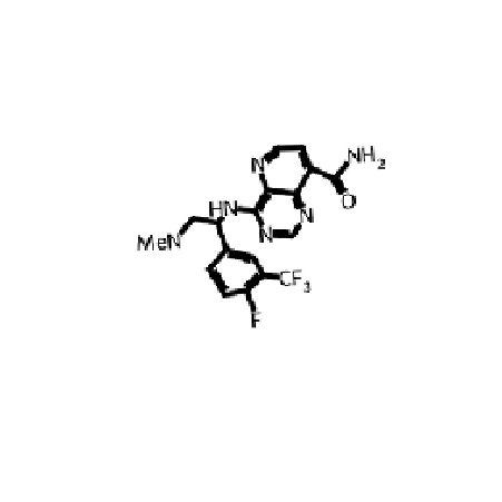 CNCC(Nc1ncnc2c(C(N)=O)ccnc12)c1ccc(F)c(C(F)(F)F)c1